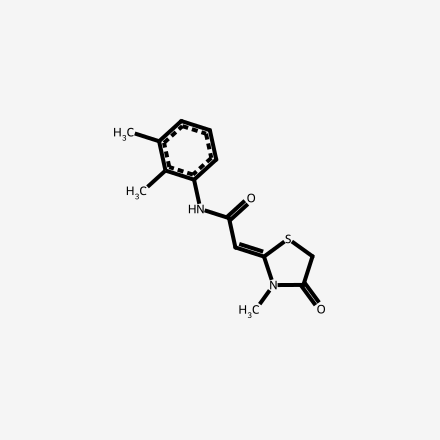 Cc1cccc(NC(=O)C=C2SCC(=O)N2C)c1C